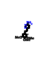 COc1cc(C=Cc2ccc(N)nn2)cc(OC)c1OC